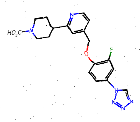 O=C(O)N1CCC(c2cc(COc3ccc(-n4cnnn4)cc3F)ccn2)CC1